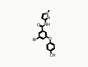 Cn1ccc(NC(=O)c2cc(Br)cc(Oc3ccc(C#N)cc3)c2)n1